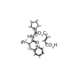 CC(C)C(Sc1ccccn1)C(=O)NCN1CCCC1.O=C(O)C=CC(=O)O